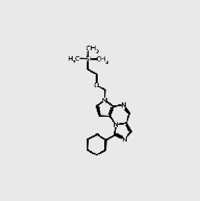 C[Si](C)(C)CCOCn1ccc2c1ncc1cnc(C3CCCCC3)n12